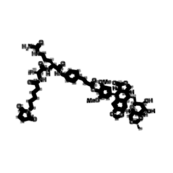 COc1cc([C@@H]2c3cc4c(cc3[C@@H](C[C@@H]3O[C@@H]5CO[C@@H](C)O[C@H]5[C@H](O)[C@H]3O)[C@H]3COC(=O)[C@H]23)OCO4)cc(OC)c1OC(=O)CCc1ccc(NC(=O)[C@H](CCCNC(N)=O)NC(=O)[C@@H](NC(=O)CCCCCN2C(=O)C=CC2=O)C(C)C)cc1